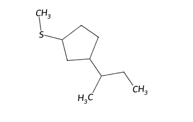 CCC(C)C1CCC(SC)C1